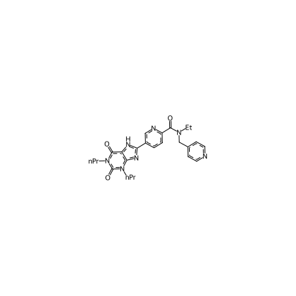 CCCn1c(=O)c2[nH]c(-c3ccc(C(=O)N(CC)Cc4ccncc4)nc3)nc2n(CCC)c1=O